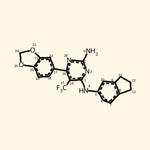 Nc1nc(Nc2ccc3c(c2)CCC3)c(C(F)(F)F)c(-c2ccc3c(c2)OCO3)n1